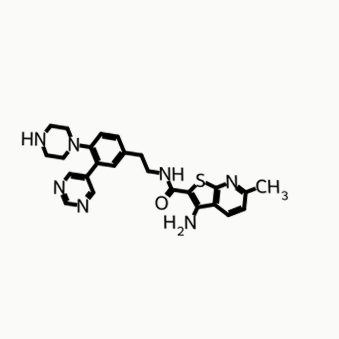 Cc1ccc2c(N)c(C(=O)NCCc3ccc(N4CCNCC4)c(-c4cncnc4)c3)sc2n1